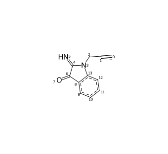 C#CCN1C(=N)C(=O)c2ccccc21